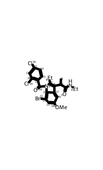 CCNC(=O)C(C)c1c(CC)n(C(=O)c2ccc(Cl)cc2Cl)c2c(Br)cc(OC)cc12